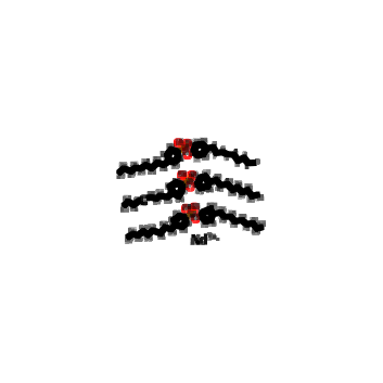 CCCCCCCCCc1ccc(OP(=O)([O-])c2ccc(CCCCCCCCC)cc2)cc1.CCCCCCCCCc1ccc(OP(=O)([O-])c2ccc(CCCCCCCCC)cc2)cc1.CCCCCCCCCc1ccc(OP(=O)([O-])c2ccc(CCCCCCCCC)cc2)cc1.[Nd+3]